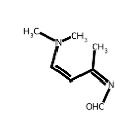 CC(/C=C\N(C)C)=N/C=O